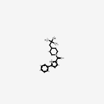 CC(C)(O)CC1CCN(C(=O)c2ccc(-c3ccccc3)[nH]2)CC1